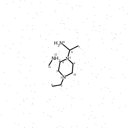 CCN1CCN(C(C)N)CC1.CN